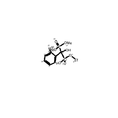 CCOP(=O)(O)C(O)(c1ccccc1[N+](=O)[O-])P(=O)(OC)OC